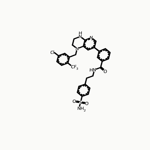 NS(=O)(=O)c1ccc(CCNC(=O)c2cccc(-c3cnc4c(c3)N(Cc3cc(Cl)ccc3C(F)(F)F)CCN4)c2)cc1